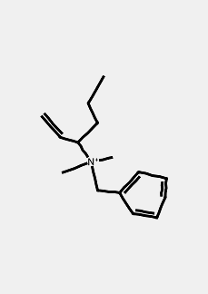 C=CC(CCC)[N+](C)(C)Cc1ccccc1